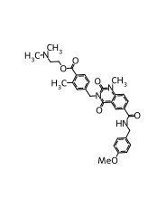 COc1ccc(CNC(=O)c2ccc3c(c2)c(=O)n(Cc2ccc(C(=O)OCCN(C)C)c(C)c2)c(=O)n3C)cc1